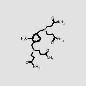 Cc1cc(CP(CCC(N)=O)CCC(N)=O)ccc1CP(CCC(N)=O)CCC(N)=O